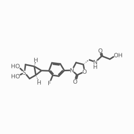 O=C(CO)NC[C@H]1CN(c2ccc(C3[C@H]4CS(O)(O)C[C@@H]34)c(F)c2)C(=O)O1